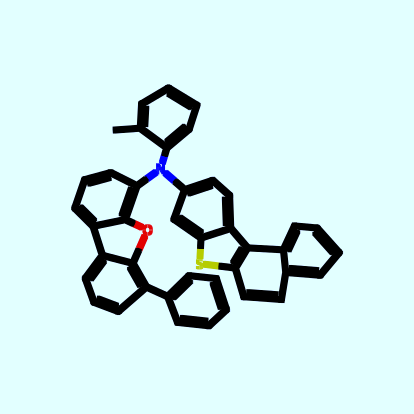 Cc1ccccc1N(c1ccc2c(c1)sc1ccc3ccccc3c12)c1cccc2c1oc1c(-c3ccccc3)cccc12